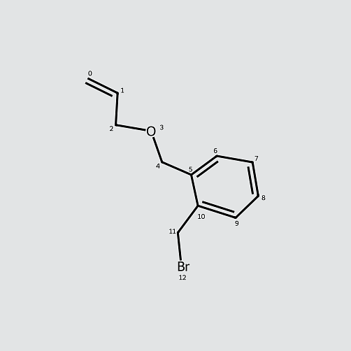 C=CCOCc1ccccc1CBr